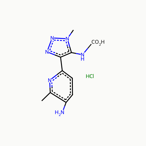 Cc1nc(-c2nnn(C)c2NC(=O)O)ccc1N.Cl